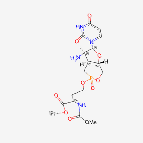 COC(=O)N[C@@H](CCOP1(=O)C[C@@H]2[C@@H](CO1)O[C@@H](n1ccc(=O)[nH]c1=O)[C@]2(C)N)C(=O)OC(C)C